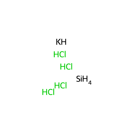 Cl.Cl.Cl.Cl.[KH].[SiH4]